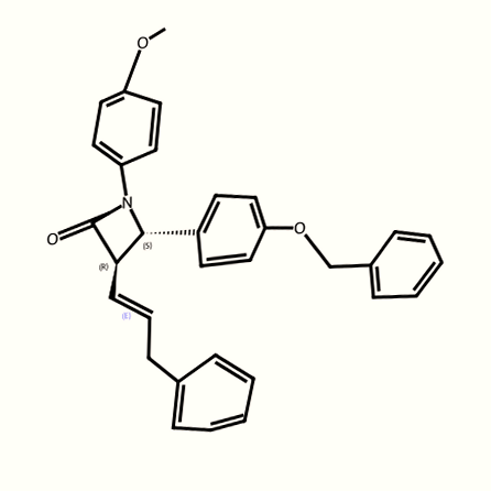 COc1ccc(N2C(=O)[C@H](/C=C/Cc3ccccc3)[C@H]2c2ccc(OCc3ccccc3)cc2)cc1